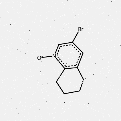 [O-][n+]1cc(Br)cc2c1CCCC2